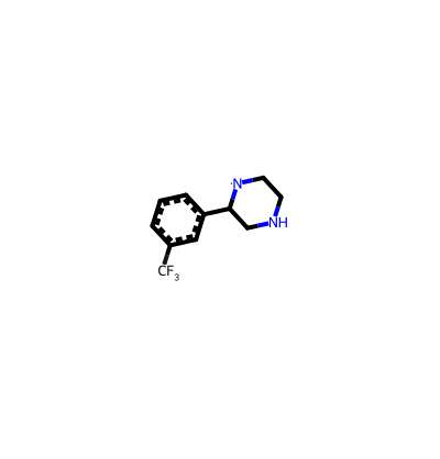 FC(F)(F)c1cccc(C2CNCC[N]2)c1